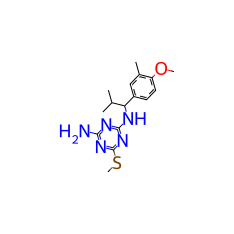 COc1ccc(C(Nc2nc(N)nc(SC)n2)C(C)C)cc1C